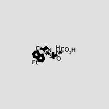 CCc1ccc(-n2c(Cl)cnc2SC(C)(C)C(=O)NCC(=O)O)c2ccccc12